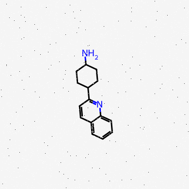 NC1CCC(c2ccc3ccccc3n2)CC1